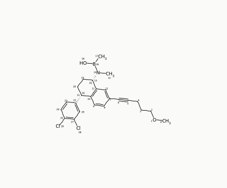 COCCCC#Cc1ccc2c(c1)[C@@H](N(C)B(C)O)CC[C@H]2c1ccc(Cl)c(Cl)c1